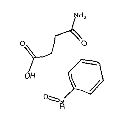 NC(=O)CCC(=O)O.O=[SiH]c1ccccc1